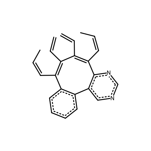 C=CC1=C(\C=C/C)c2ccccc2-c2cncnc2C(/C=C\C)=C\1C=C